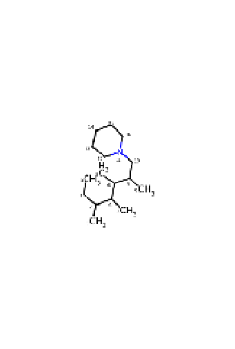 CCC(C)C(C)C(C)C(C)CN1CCCCC1